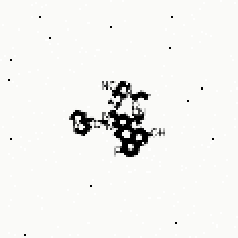 C#Cc1c(F)ccc2cc(O)cc(-c3c(C(C)(C)C#N)cc4c(N(C)C[C@H]5N(C(=O)C=C)CCC5(C)C#N)nc(OCC56CCCN5CCC6)nc4c3F)c12